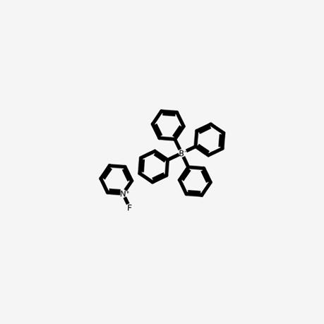 F[n+]1ccccc1.c1ccc([B-](c2ccccc2)(c2ccccc2)c2ccccc2)cc1